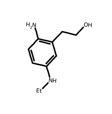 CCNc1ccc(N)c(CCO)c1